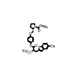 CCOC(=O)C(Cc1cc2cc(C#N)ccc2s1)C(=O)Oc1ccc(OC[C@H]2CCCN2C(=O)OC(C)(C)C)cc1